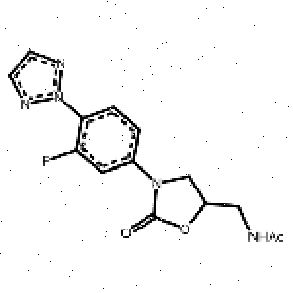 CC(=O)NCC1CN(c2ccc(-n3nccn3)c(F)c2)C(=O)O1